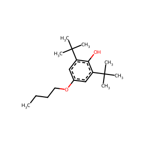 CCCCOc1cc(C(C)(C)C)c(O)c(C(C)(C)C)c1